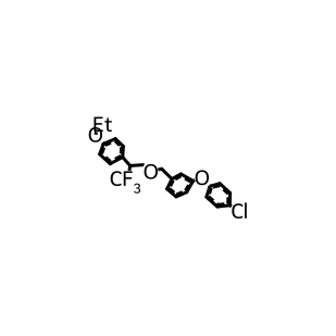 CCOc1ccc(C(COCc2cccc(Oc3ccc(Cl)cc3)c2)C(F)(F)F)cc1